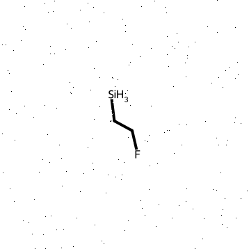 FC[CH][SiH3]